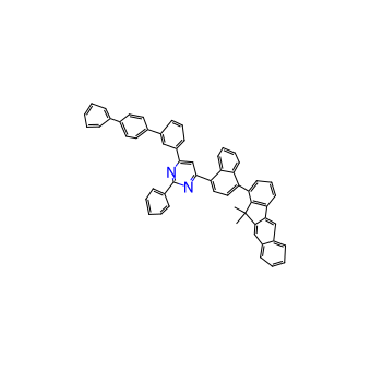 CC1(C)c2cc3ccccc3cc2-c2cccc(-c3ccc(-c4cc(-c5cccc(-c6ccc(-c7ccccc7)cc6)c5)nc(-c5ccccc5)n4)c4ccccc34)c21